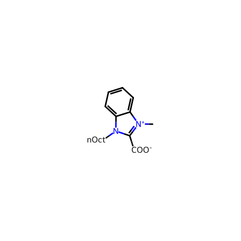 CCCCCCCCn1c(C(=O)[O-])[n+](C)c2ccccc21